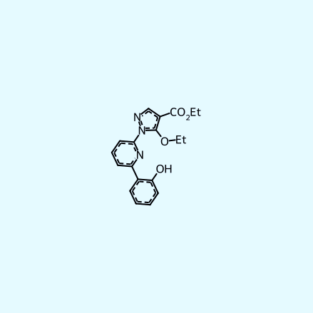 CCOC(=O)c1cnn(-c2cccc(-c3ccccc3O)n2)c1OCC